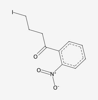 O=C(CCCI)c1ccccc1[N+](=O)[O-]